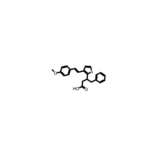 COc1ccc(C=Cc2ccsc2C(CC(=O)O)Cc2ccccc2)cc1